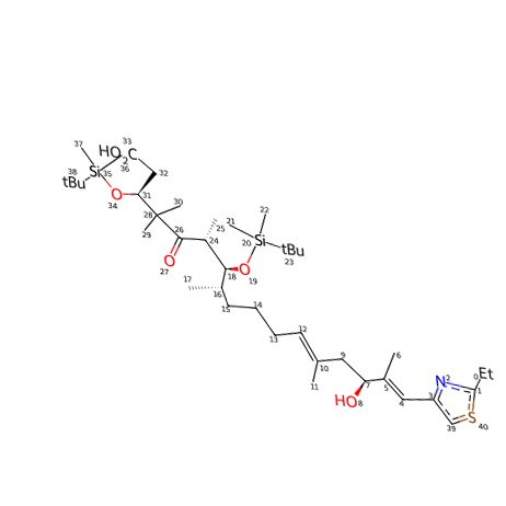 CCc1nc(/C=C(\C)[C@@H](O)C/C(C)=C/CCC[C@H](C)[C@H](O[Si](C)(C)C(C)(C)C)[C@@H](C)C(=O)C(C)(C)[C@H](CC(=O)O)O[Si](C)(C)C(C)(C)C)cs1